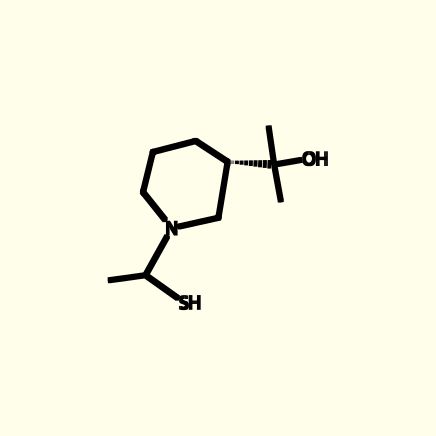 CC(S)N1CCC[C@H](C(C)(C)O)C1